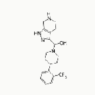 OC(c1n[nH]c2c1CCNC2)N1CCC(c2ccccc2C(F)(F)F)CC1